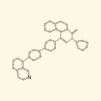 C=C1c2ccc3ccccc3c2C(c2ccc(-c3ccc(-c4cccc5ccncc45)cc3)cc2)=CC1c1ccccc1